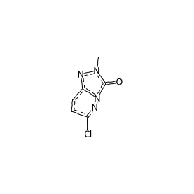 Cn1nc2ccc(Cl)nn2c1=O